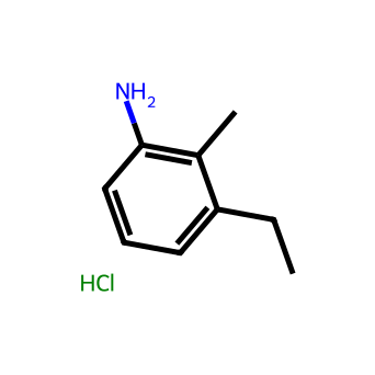 CCc1cccc(N)c1C.Cl